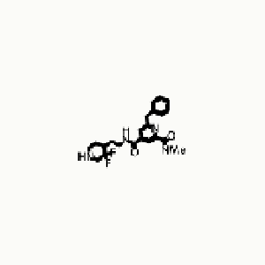 CNC(=O)c1cc(C(=O)NCCC2CCNCC2(F)F)cc(Cc2ccccc2)n1